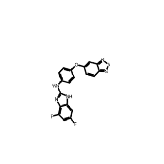 Fc1cc(F)c2nc(Nc3ccc(Oc4ccc5nsnc5c4)cc3)[nH]c2c1